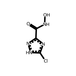 O=C(NO)c1n[nH]c(Cl)n1